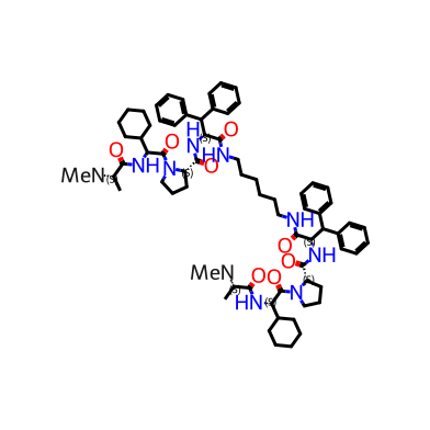 CN[C@@H](C)C(=O)NC(C(=O)N1CCC[C@H]1C(=O)N[C@H](C(=O)NCCCCCCNC(=O)[C@@H](NC(=O)[C@@H]1CCCN1C(=O)[C@@H](NC(=O)[C@H](C)NC)C1CCCCC1)C(c1ccccc1)c1ccccc1)C(c1ccccc1)c1ccccc1)C1CCCCC1